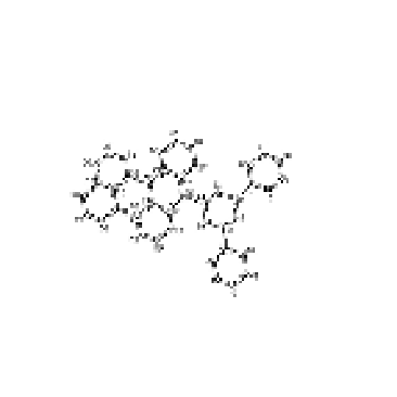 c1ccc(-c2cc(-c3ccccc3)cc(-c3c4ccccc4c(-c4cccc5ccccc45)c4ncccc34)c2)cc1